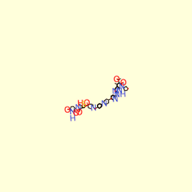 CC(=O)c1c(C)c2cnc(Nc3ccc(C4CCN(c5ccc(CN6CCC(O)(c7cc8c(s7)CN(C7CCC(=O)NC7=O)C8=O)CC6)cc5)CC4)cn3)nc2n(C2CCCC2)c1=O